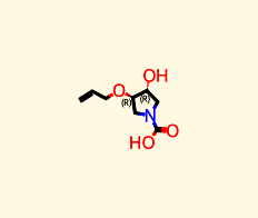 C=CCO[C@@H]1CN(C(=O)O)C[C@H]1O